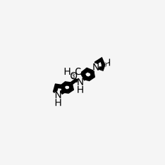 Cc1cc(N2CC[C@H](I)C2)ccc1NC(=O)c1ccc2[nH]ccc2c1